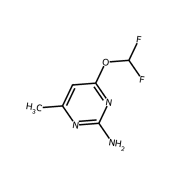 Cc1cc(OC(F)F)nc(N)n1